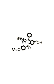 COc1ccc(C(=O)Oc2ccc(CO)cc2[C@H](CCN(C(C)C)C(C)C)c2ccccc2)cc1